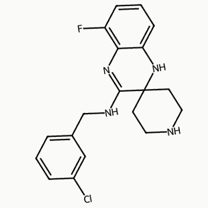 Fc1cccc2c1N=C(NCc1cccc(Cl)c1)C1(CCNCC1)N2